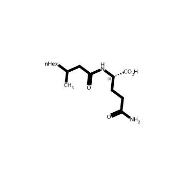 CCCCCCC(C)CC(=O)N[C@@H](CCC(N)=O)C(=O)O